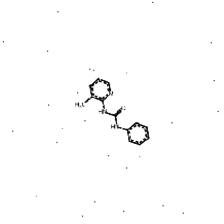 Cc1cccnc1NC(=O)Nc1ccccc1